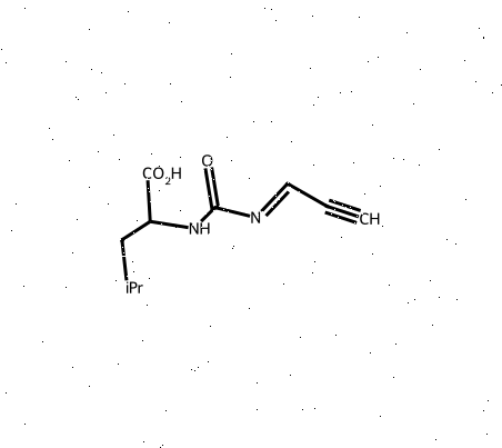 C#CC=NC(=O)NC(CC(C)C)C(=O)O